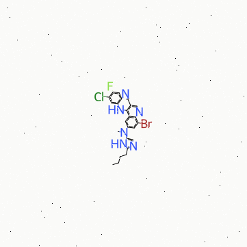 CCCCc1ncc(N(C)c2cc(Br)c3ncc(C#N)c(Nc4ccc(F)c(Cl)c4)c3c2)[nH]1